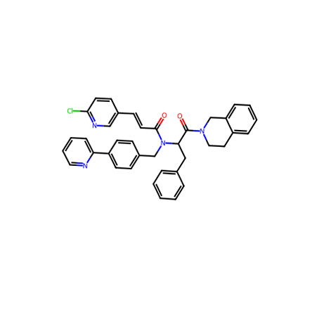 O=C(C(Cc1ccccc1)N(Cc1ccc(-c2ccccn2)cc1)C(=O)C=Cc1ccc(Cl)nc1)N1CCc2ccccc2C1